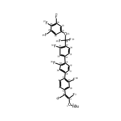 CCCCO/C(F)=C(\F)c1ccc(-c2ccc(-c3ccc(C(F)(F)Oc4cc(F)c(F)c(F)c4)c(F)c3)c(F)c2)c(F)c1